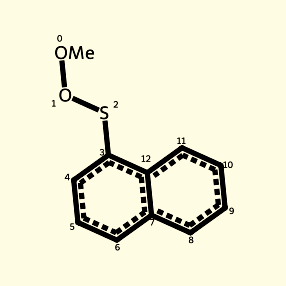 COOSc1cccc2ccccc12